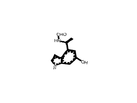 C=C(NC=O)c1cc(O)cc2[nH]ccc12